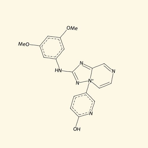 COc1cc(NC2=N[N+]3(c4ccc(O)nc4)C=CN=CC3=N2)cc(OC)c1